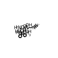 CC[C@@H](CC(C)(C)[Si](O)(c1ccccc1)c1ccccc1)[C@@]1(C)OC(O)N(CCCCN=[N+]=[N-])[C@@H]1[C@@H](C)O